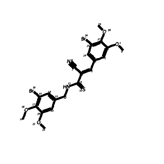 COc1cc(/C=C(\C#N)C(=S)NCc2cc(Br)c(OC)c(OC)c2)cc(Br)c1OC